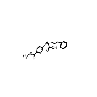 COC(=O)c1ccc([C@H]2C[C@@]2(CCCc2ccccc2)C(=O)O)cc1